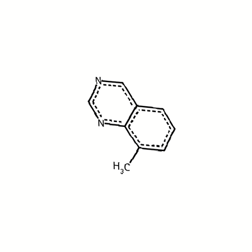 Cc1cccc2cncnc12